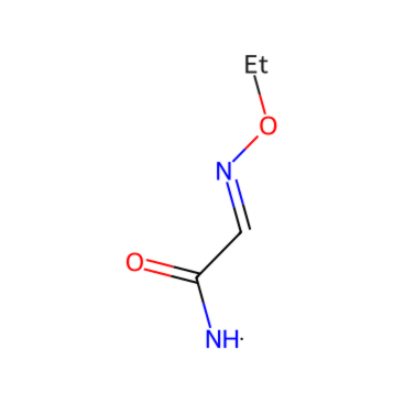 CCON=CC([NH])=O